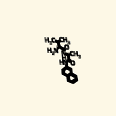 CC(C)[C@H](N)C(=O)N[C@@H](C)C(=O)Nc1ccc2ccccc2c1